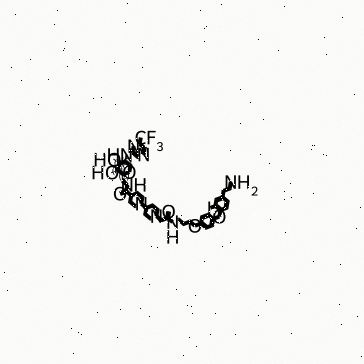 NCCc1ccc(Oc2ccc(OCCCNC(=O)CN3CCC(N4CCC(C(=O)NC[C@H]5OC[C@H](Nc6cncc(C(F)(F)F)n6)[C@@H](O)[C@H]5O)CC4)CC3)cc2)c(I)c1